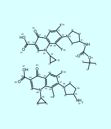 CC(C)(C)OC(=O)NC1CCN(c2c(F)cc3c(=O)c(C(=O)O)cn(C4CC4)c3c2F)C1.NC1CCN(c2c(F)cc3c(=O)c(C(=O)O)cn(C4CC4)c3c2F)C1